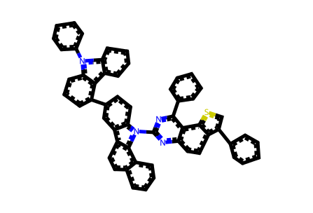 c1ccc(-c2csc3c2ccc2nc(-n4c5ccc(-c6cccc7c6c6ccccc6n7-c6ccccc6)cc5c5ccc6ccccc6c54)nc(-c4ccccc4)c23)cc1